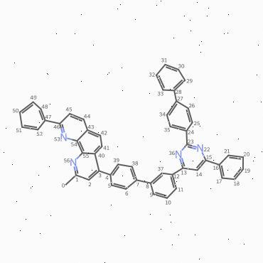 Cc1cc(-c2ccc(-c3cccc(-c4cc(-c5ccccc5)nc(-c5ccc(-c6ccccc6)cc5)n4)c3)cc2)c2ccc3ccc(-c4ccccc4)nc3c2n1